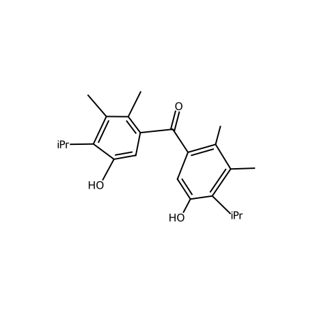 Cc1c(C(=O)c2cc(O)c(C(C)C)c(C)c2C)cc(O)c(C(C)C)c1C